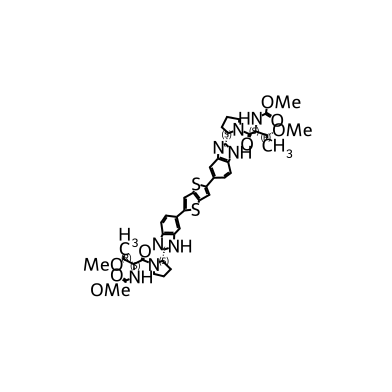 COC(=O)N[C@H](C(=O)N1CCC[C@H]1c1nc2cc(-c3cc4sc(-c5ccc6nc([C@@H]7CCCN7C(=O)[C@@H](NC(=O)OC)[C@@H](C)OC)[nH]c6c5)cc4s3)ccc2[nH]1)[C@@H](C)OC